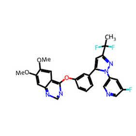 COc1cc2ncnc(Oc3cccc(-c4cc(C(C)(F)F)nn4-c4cncc(F)c4)c3)c2cc1OC